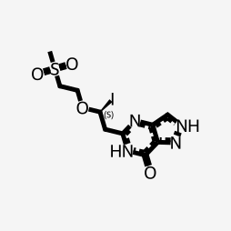 CS(=O)(=O)CCO[C@@H](I)Cc1nc2c[nH]nc2c(=O)[nH]1